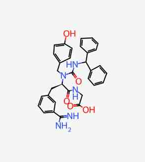 N=C(N)c1cccc(C[C@H](C(=O)NCC(=O)O)N(Cc2ccc(O)cc2)C(=O)NC(c2ccccc2)c2ccccc2)c1